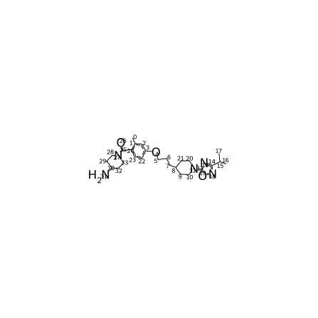 Cc1cc(OCCCC2CCN(c3nc(C(C)C)no3)CC2)ccc1C(=O)N1CCC(N)CC1